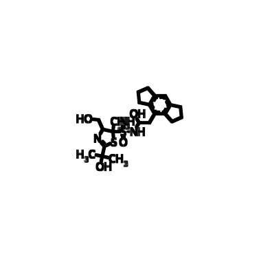 CC(C)(O)C1=NC(CO)C(C)([S@@](=N)(=O)NC(O)Cc2c3c(cc4c2CCC4)CCC3)S1